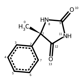 C[C@@]1(c2ccccc2)NC(=O)NC1=O